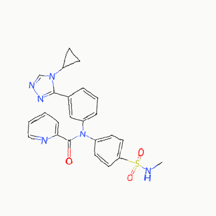 CNS(=O)(=O)c1ccc(N(C(=O)c2ccccn2)c2cccc(-c3nncn3C3CC3)c2)cc1